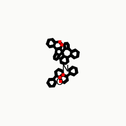 c1ccc(-c2ccccc2N(c2ccc3c(c2)-c2ccccc2-c2ccccc2C32c3ccccc3-c3c2c2ccccc2c2ccccc32)c2ccc3c(c2)oc2ccccc23)cc1